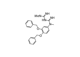 CNC(=N)NC(=N)N(C)c1ccc(OCc2ccccc2)c(OCc2ccccc2)c1